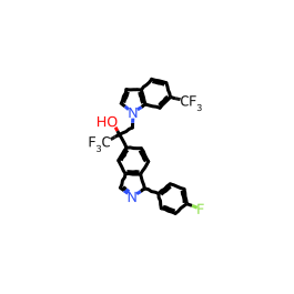 OC(Cn1ccc2ccc(C(F)(F)F)cc21)(c1ccc2c(c1)C=NC2c1ccc(F)cc1)C(F)(F)F